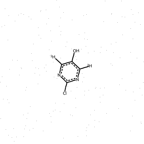 [2H]c1nc(Cl)nc([2H])c1O